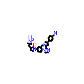 CC(C)(N)CC1CCN(c2ccc3c(c2)Cn2cc(-c4ccc(C#N)cc4)cc2-c2nccn2-3)C1=O